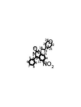 O=c1nc(-c2ccccc2)c2cc([N+](=O)[O-])ccc2n1CCN1CCOCC1